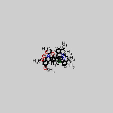 CCC1Oc2c([CH]=[Ru]([Cl])[CH]3N(c4c(C(C)C)cccc4C(C)C)CCN3c3c(C(C)C)cccc3C(C)C)cccc2N(C(=O)c2ccc(OC)cc2OC)C1=O